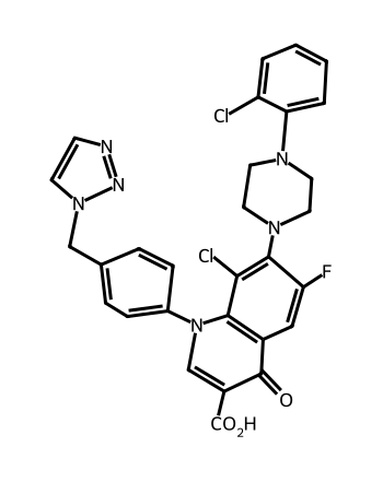 O=C(O)c1cn(-c2ccc(Cn3ccnn3)cc2)c2c(Cl)c(N3CCN(c4ccccc4Cl)CC3)c(F)cc2c1=O